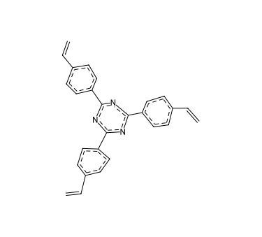 C=Cc1ccc(-c2nc(-c3ccc(C=C)cc3)nc(-c3ccc(C=C)cc3)n2)cc1